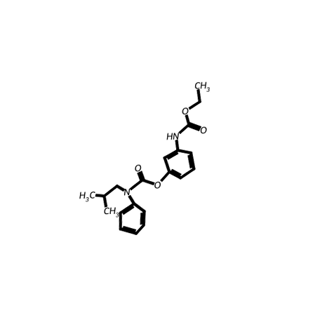 CCOC(=O)Nc1cccc(OC(=O)N(CC(C)C)c2ccccc2)c1